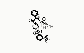 CCNC(=O)Nc1sc2ccccc2c1C(=O)N1CCN(S(=O)(=O)c2cccc([N+](=O)[O-])c2)CC1